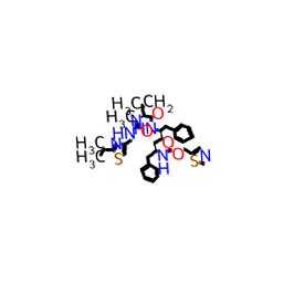 C=C(C)[C@@H](C(=O)N[C@H](CC[C@H](Cc1ccccc1)NC(=O)OCc1cncs1)Cc1ccccc1)N(C)C(=O)NCc1csc(C(C)C)n1